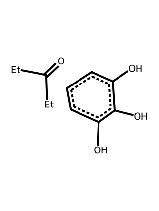 CCC(=O)CC.Oc1cccc(O)c1O